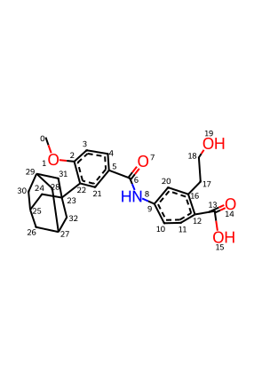 COc1ccc(C(=O)Nc2ccc(C(=O)O)c(CCO)c2)cc1C12CC3CC(CC(C3)C1)C2